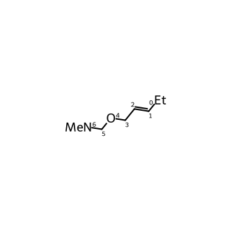 CCC=CCOCNC